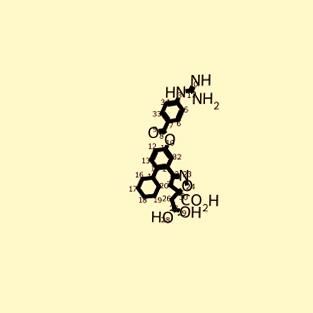 N=C(N)Nc1ccc(C(=O)Oc2ccc(C3CCCCC3)c(C3=NOC(CC(O)O)(C(=O)O)C3)c2)cc1